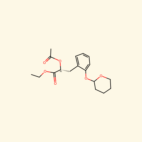 CCOC(=O)[C@@H](Cc1ccccc1OC1CCCCO1)OC(C)=O